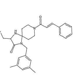 Cc1cc(C)cc(CN2C(=O)C(CC(C)C)NC23CCN(C(=O)C=Cc2ccccc2)CC3)c1